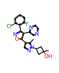 Cc1c(-c2onc(-c3c(F)cccc3Cl)c2-c2cnccn2)cnn1C1CC(C)(O)C1